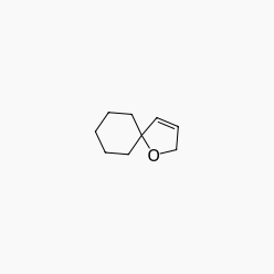 C1=CC2(CCCCC2)OC1